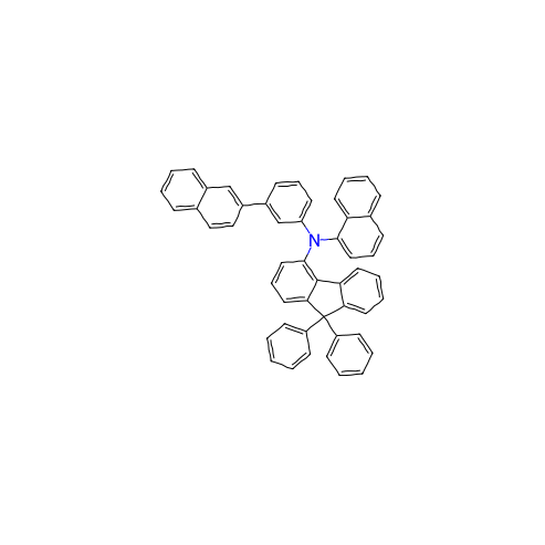 c1ccc(C2(c3ccccc3)c3ccccc3-c3c(N(c4cccc(-c5ccc6ccccc6c5)c4)c4cccc5ccccc45)cccc32)cc1